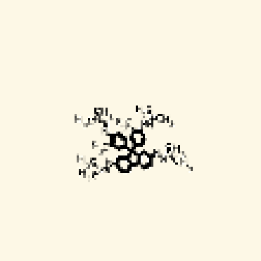 CN(C)/N=N/c1ccc2c(c1)C(c1ccc(/N=N/N(C)C)c(C(F)(F)F)c1)(c1ccc(/N=N/N(C)C)c(C(F)(F)F)c1)c1cc(/N=N/N(C)C)ccc1-2